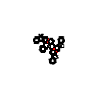 CC1(C)c2ccccc2-c2c(-c3ccccc3N(c3ccc4sc5ccccc5c4c3)c3ccccc3-c3cccc4oc5ccccc5c34)cccc21